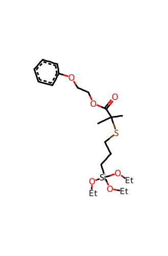 CCO[Si](CCCSC(C)(C)C(=O)OCCOc1ccccc1)(OCC)OCC